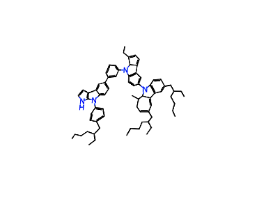 CCCCC(CC)CC1=CCC(C)C2C(=C1)c1cc(CC(CC)CCCC)ccc1N2c1ccc2c(c1)C1=CC=C(CC)C1N2c1cccc(-c2ccc3c(c2)c2cc[nH]c2n3-c2ccc(CC(CC)CCCC)cc2)c1